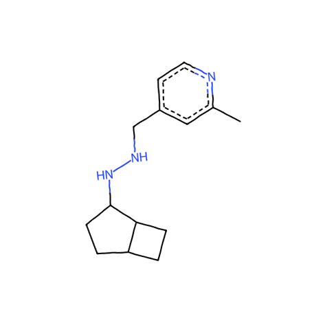 Cc1cc(CNNC2CCC3CCC32)ccn1